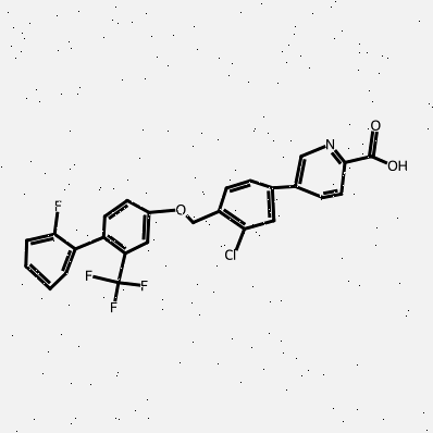 O=C(O)c1ccc(-c2ccc(COc3ccc(-c4ccccc4F)c(C(F)(F)F)c3)c(Cl)c2)cn1